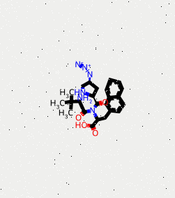 CC(C)(C)[C@H](N)C(=O)N(C(=O)[C@@H]1C[C@H](N=[N+]=[N-])CN1)C(Cc1ccc2ccccc2c1)C(=O)O